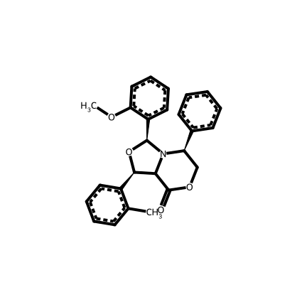 COc1ccccc1[C@@H]1O[C@H](c2ccccc2C)C2C(=O)OC[C@H](c3ccccc3)N21